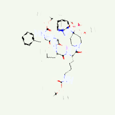 COP(=O)(OC)C1(N)CCN(C(=O)[C@@H](CCCCNC(=O)OC(C)(C)C)NC(=O)[C@@H](CC(C)C)NC(=O)[C@@H](Cc2ccccc2)NC(=O)[C@@H](Cc2ccccc2)NC(=O)OC(C)(C)C)CC1